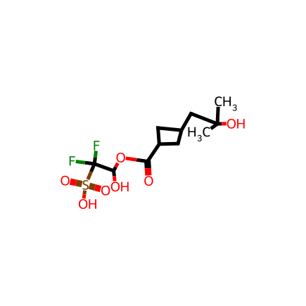 CC(C)(O)CC1CC(C(=O)OC(O)C(F)(F)S(=O)(=O)O)C1